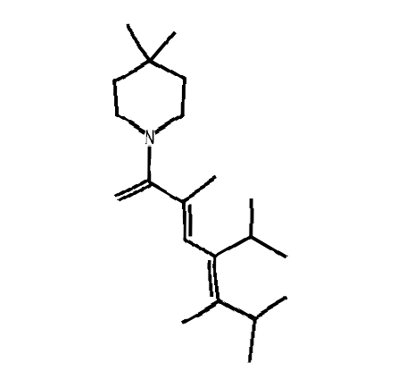 C=C(/C(C)=C/C(=C(\C)C(C)C)C(C)C)N1CCC(C)(C)CC1